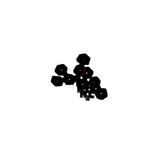 CC1(C)c2ccccc2-c2cccc(-c3cccc(N(c4ccc(-c5ccccc5)cc4)c4ccc(-c5ccccc5)c(-c5ccccc5)c4)c3-c3ccccc3)c21